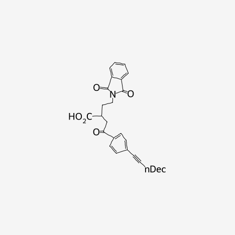 CCCCCCCCCCC#Cc1ccc(C(=O)CC(CCN2C(=O)c3ccccc3C2=O)C(=O)O)cc1